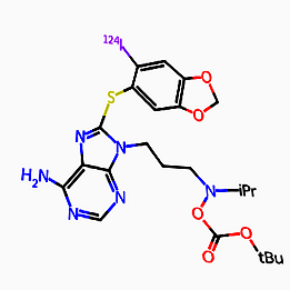 CC(C)N(CCCn1c(Sc2cc3c(cc2[124I])OCO3)nc2c(N)ncnc21)OC(=O)OC(C)(C)C